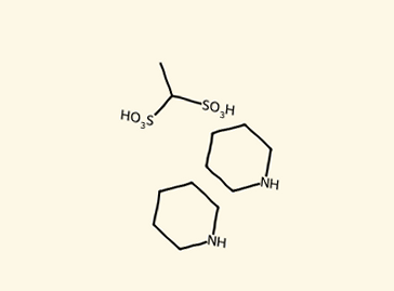 C1CCNCC1.C1CCNCC1.CC(S(=O)(=O)O)S(=O)(=O)O